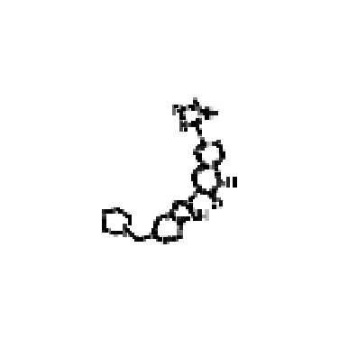 O=c1[nH]c2ccc(-c3nnn[nH]3)cc2cc1-c1cc2cc(CN3CCCCC3)ccc2[nH]1